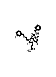 CN1CC(=O)N2[C@@H](CCC(=O)O)C(=O)N(CCOCc3cccc(F)c3)C[C@@H]2N1C(=O)NCc1ccccc1